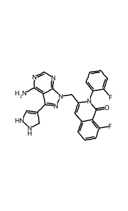 Nc1ncnc2c1c(C1=CNNC1)nn2Cc1cc2cccc(F)c2c(=O)n1-c1ccccc1F